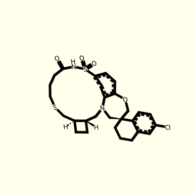 O=C1CCCSC[C@@H]2CC[C@H]2CN2C[C@@]3(CCCc4cc(Cl)ccc43)COc3ccc(cc32)S(=O)(=O)N1